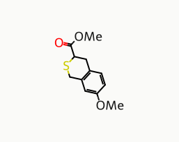 COC(=O)C1Cc2ccc(OC)cc2CS1